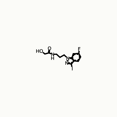 O=C(CO)NCCCn1nc(I)c2ccc(F)cc21